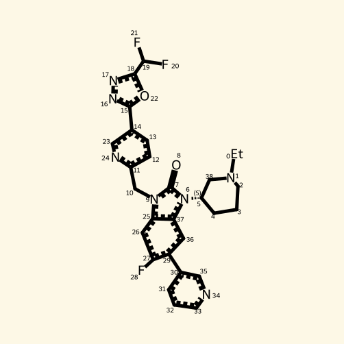 CCN1CCC[C@H](n2c(=O)n(Cc3ccc(-c4nnc(C(F)F)o4)cn3)c3cc(F)c(-c4cccnc4)cc32)C1